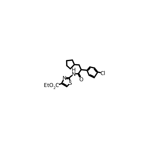 CCOC(=O)c1csc(NC(=O)C(CC2CCCC2)c2ccc(Cl)cc2)n1